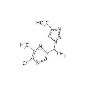 Cc1nc(C(C)n2cc(C(=O)O)nn2)cnc1Cl